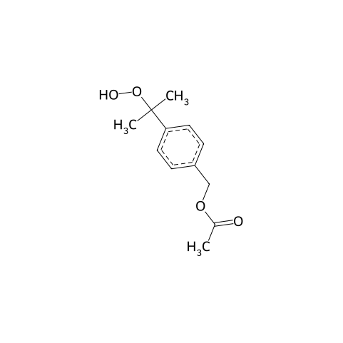 CC(=O)OCc1ccc(C(C)(C)OO)cc1